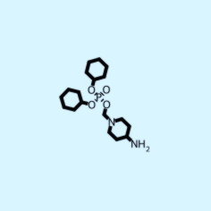 NC1CCN(COP(=O)(OC2CCCCC2)OC2CCCCC2)CC1